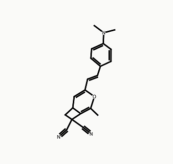 CC1=C2C(C=C(C=Cc3ccc(N(C)C)cc3)O1)CC2(C#N)C#N